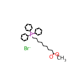 COC(=O)CCCCCCCC[P+](c1ccccc1)(c1ccccc1)c1ccccc1.[Br-]